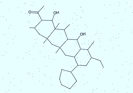 CCC1CC(C2CCCCC2)C2CC3(C)CC4(C)CC(C)C(C(C)=O)C(O)C4(C)C(C)C3C(O)C2C1C